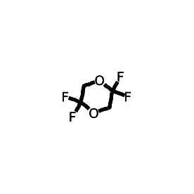 FC1(F)COC(F)(F)CO1